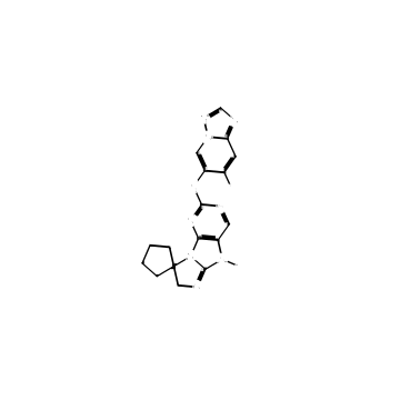 Cc1cc2ncnn2cc1Nc1ncc2c(n1)N1C(=NCC13CCCC3)N2C